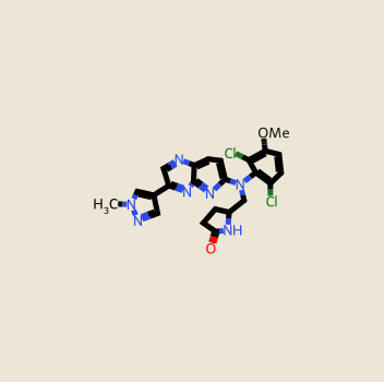 COc1ccc(Cl)c(N(CC2CCC(=O)N2)c2ccc3ncc(-c4cnn(C)c4)nc3n2)c1Cl